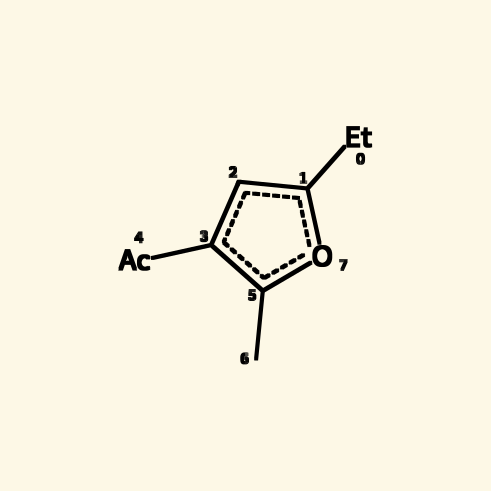 CCc1cc(C(C)=O)c(C)o1